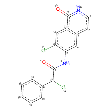 O=C(Nc1cc2cc[nH]c(=O)c2cc1Cl)C(Cl)c1ccccc1